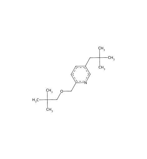 CC(C)(C)COCc1ccc(CC(C)(C)C)cn1